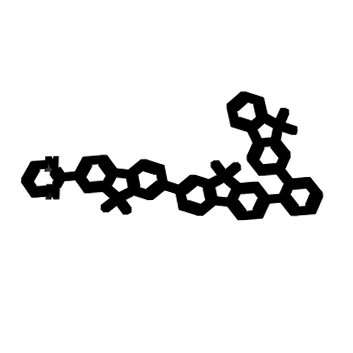 CC1(C)c2cc(-c3ccc4c(c3)C(C)(C)c3cc(-c5ccccc5-c5ccc6c(c5)C(C)(C)c5ccccc5-6)ccc3-4)ccc2-c2ccc(-c3ncccn3)cc21